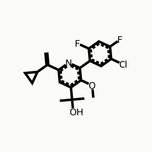 C=C(c1cc(C(C)(C)O)c(OC)c(-c2cc(Cl)c(F)cc2F)n1)C1CC1